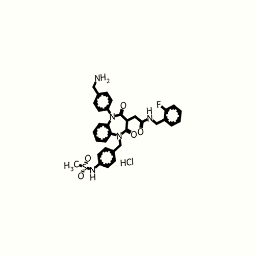 CS(=O)(=O)Nc1ccc(CN2C(=O)C(CC(=O)NCc3ccccc3F)C(=O)N(c3ccc(CN)cc3)c3ccccc32)cc1.Cl